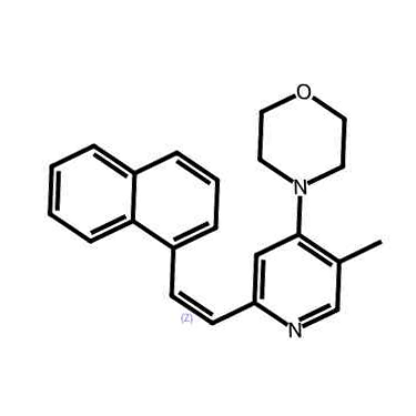 Cc1cnc(/C=C\c2cccc3ccccc23)cc1N1CCOCC1